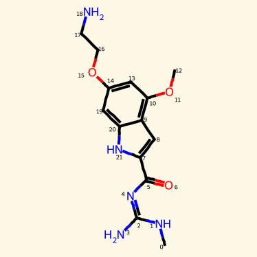 CNC(N)=NC(=O)c1cc2c(OC)cc(OCCN)cc2[nH]1